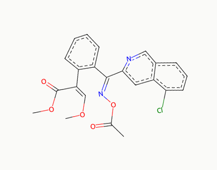 COC=C(C(=O)OC)c1ccccc1C(=NOC(C)=O)c1cc2c(Cl)cccc2cn1